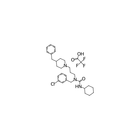 O=C(NC1CCCCC1)N(CCCN1CCC(Cc2ccccc2)CC1)Cc1cccc(Cl)c1.O=C(O)C(F)(F)F